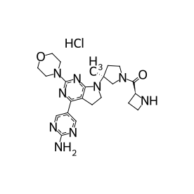 C[C@]1(N2CCc3c(-c4cnc(N)nc4)nc(N4CCOCC4)nc32)CCN(C(=O)[C@@H]2CCN2)C1.Cl